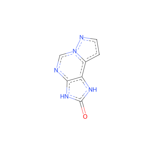 O=c1[nH]c2ncn3nccc3c2[nH]1